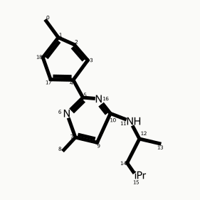 Cc1ccc(-c2nc(C)cc(NC(C)CC(C)C)n2)cc1